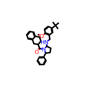 COc1ccc(C(C)(C)C)cc1CNC1CCC(c2ccccc2)N1C(=O)C1CCc2ccccc2C1